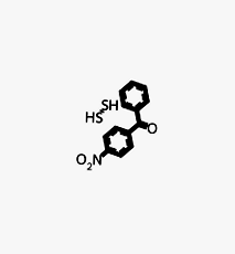 O=C(c1ccccc1)c1ccc([N+](=O)[O-])cc1.SS